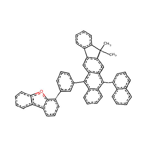 CC1(C)c2ccccc2-c2cc3c(-c4cccc(-c5cccc6c5oc5ccccc56)c4)c4ccccc4c(-c4cccc5ccccc45)c3cc21